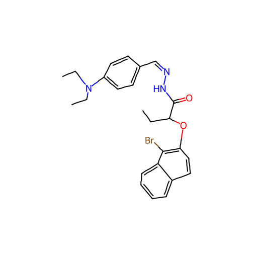 CCC(Oc1ccc2ccccc2c1Br)C(=O)N/N=C\c1ccc(N(CC)CC)cc1